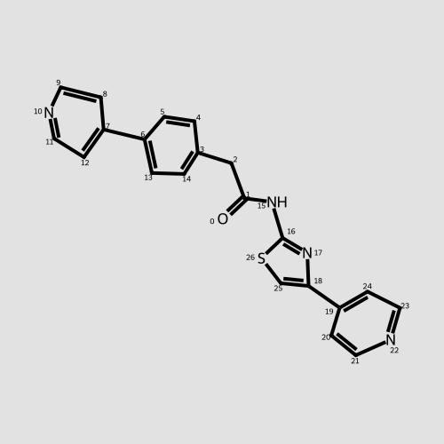 O=C(Cc1ccc(-c2ccncc2)cc1)Nc1nc(-c2ccncc2)cs1